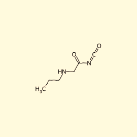 CCCNCC(=O)N=C=O